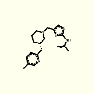 CC(=O)Nc1ncc(CN2CCC[C@@H](Cc3ccc(C)cn3)C2)s1